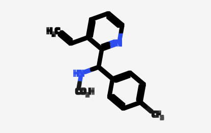 C=Cc1cccnc1C(NC(=O)O)c1ccc(C(F)(F)F)cc1